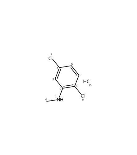 CNc1cc(Cl)ccc1Cl.Cl